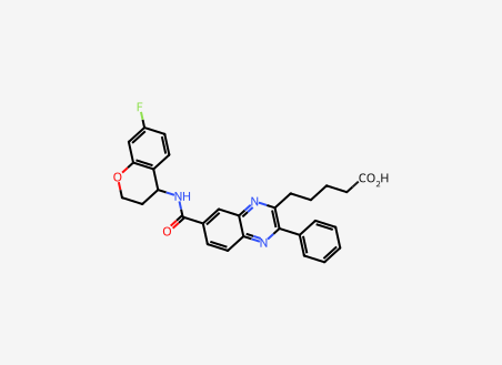 O=C(O)CCCCc1nc2cc(C(=O)NC3CCOc4cc(F)ccc43)ccc2nc1-c1ccccc1